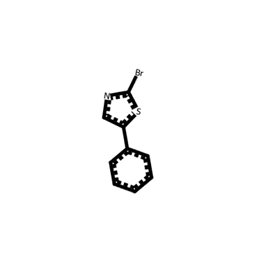 Brc1ncc(-c2ccccc2)s1